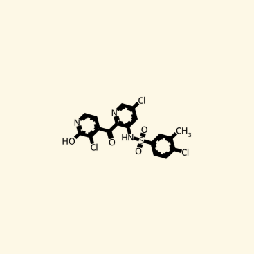 Cc1cc(S(=O)(=O)Nc2cc(Cl)cnc2C(=O)c2ccnc(O)c2Cl)ccc1Cl